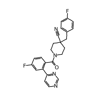 N#CC1(Cc2ccc(F)cc2)CCN(C(=O)c2ccc(F)cc2-c2ccncn2)CC1